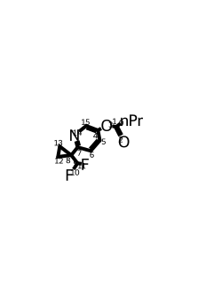 CCCC(=O)Oc1ccc(C2(C(F)F)CC2)nc1